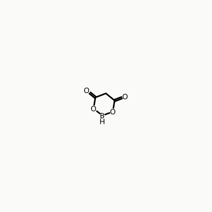 O=C1CC(=O)OBO1